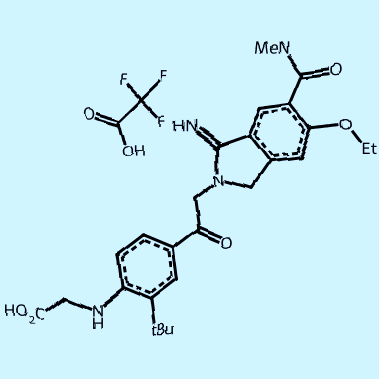 CCOc1cc2c(cc1C(=O)NC)C(=N)N(CC(=O)c1ccc(NCC(=O)O)c(C(C)(C)C)c1)C2.O=C(O)C(F)(F)F